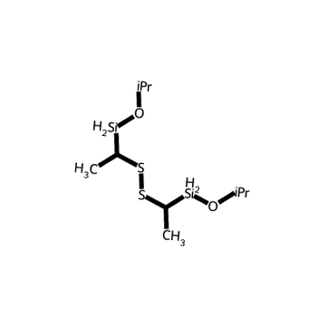 CC(C)O[SiH2]C(C)SSC(C)[SiH2]OC(C)C